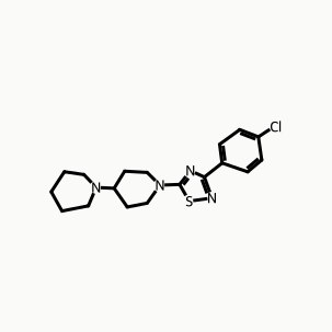 Clc1ccc(-c2nsc(N3CCC(N4CCCCC4)CC3)n2)cc1